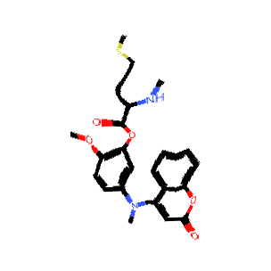 CNC(CCSC)C(=O)Oc1cc(N(C)c2cc(=O)oc3ccccc23)ccc1OC